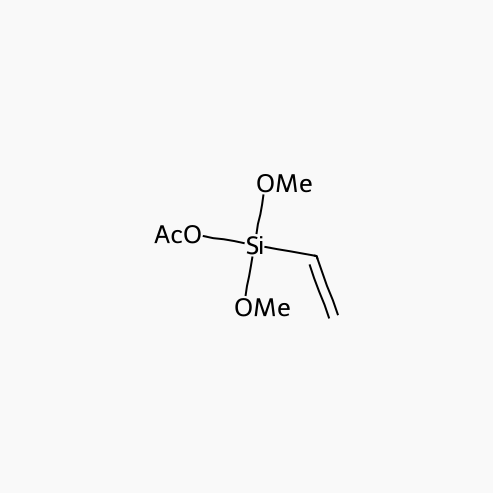 C=C[Si](OC)(OC)OC(C)=O